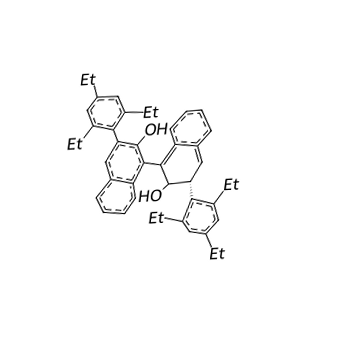 CCc1cc(CC)c(-c2cc3ccccc3c(C3=c4ccccc4=C[C@H](c4c(CC)cc(CC)cc4CC)C3O)c2O)c(CC)c1